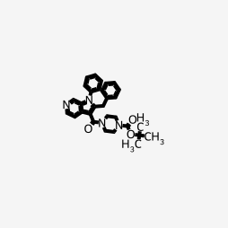 CC(C)(C)OC(=O)N1CCN(C(=O)c2c(Cc3ccccc3)n(-c3ccccc3)c3cnccc23)CC1